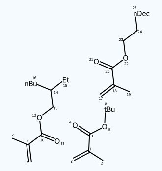 C=C(C)C(=O)OC(C)(C)C.C=C(C)C(=O)OCC(CC)CCCC.C=C(C)C(=O)OCCCCCCCCCCCC